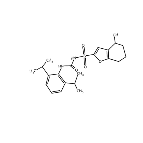 CC(C)c1cccc(C(C)C)c1NC(=O)NS(=O)(=O)c1cc2c(o1)CCCC2O